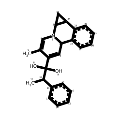 CC1=CN2C(C=C1C(O)(O)C(C)c1ccccc1)c1ccccc1C1CC12